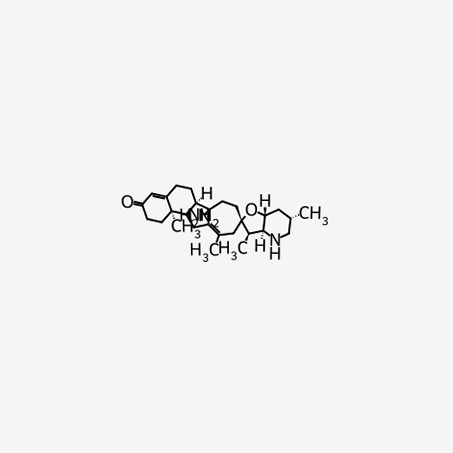 CC1=C2C[C@@]3(N)[C@@H](CCC4=CC(=O)CC[C@@]43C)[C@]2(N)CC[C@@]2(C1)O[C@@H]1C[C@H](C)CN[C@H]1[C@H]2C